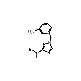 CCNc1ncn(Cc2cccc(C)c2)n1